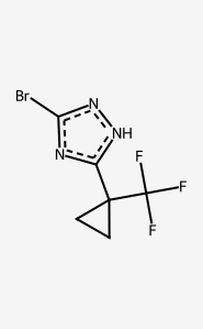 FC(F)(F)C1(c2nc(Br)n[nH]2)CC1